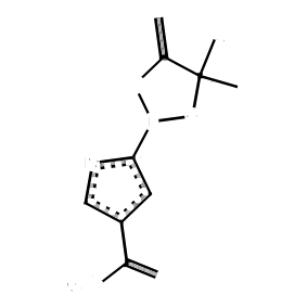 C=C1OB(c2cc(C(=O)OC)c[nH]2)OC1(C)C